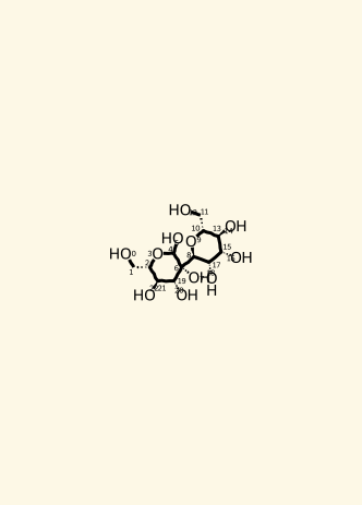 OC[C@@H]1OC(O)[C@@](O)([C@H]2O[C@H](CO)[C@@H](O)[C@H](O)[C@@H]2O)[C@H](O)[C@H]1O